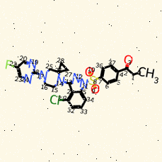 CCC(=O)c1ccc(S(=O)(=O)n2nc(N3CCN(c4ncc(F)cn4)CC34CC4)c3c(Cl)cccc32)cc1